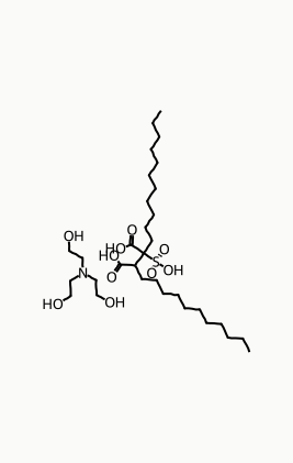 CCCCCCCCCCCC(C(=O)O)C(CCCCCCCCCCC)(C(=O)O)S(=O)(=O)O.OCCN(CCO)CCO